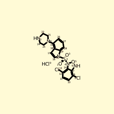 Cl.O=S(=O)(N1ONc2c(Cl)ccc(Cl)c21)n1ccc2c(N3CCNCC3)cccc21